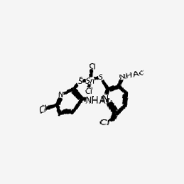 CC(=O)Nc1ccc(Cl)nc1[S][Sn]([Cl])([Cl])[S]c1nc(Cl)ccc1NC(C)=O